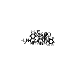 CC(=O)c1c(C(=N)N)cccc1N(c1cc[nH]c(=O)c1NS(=O)(=O)Cc1ccccc1)[C@@H](C)C=O